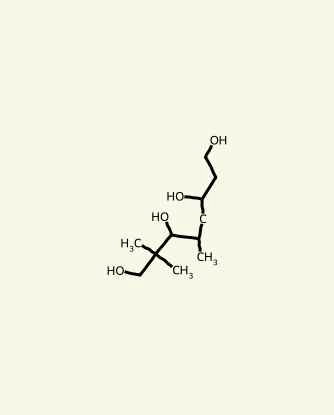 CC(CC(O)CCO)C(O)C(C)(C)CO